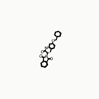 NC(=O)[C@H](Cc1ccc(OCc2ccccc2)cc1)N1C(=O)c2ccccc2C1=O